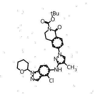 Cc1cn(-c2ccc3c(c2)CCN(C(=O)OC(C)(C)C)C3=O)nc1Nc1ccc2c(cnn2C2CCCCO2)c1Cl